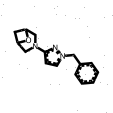 c1ccc(Cn2ccc(N3CC4CC(C3)O4)n2)cc1